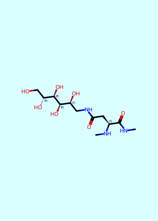 CNC(=O)[C@H](CC(=O)NC[C@H](O)[C@@H](O)[C@H](O)[C@H](O)CO)NC